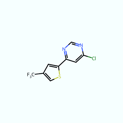 FC(F)(F)c1csc(-c2cc(Cl)ncn2)c1